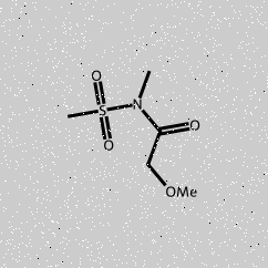 COCC(=O)N(C)S(C)(=O)=O